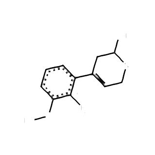 CSc1cccc(C2=CCNC(C)C2)c1F